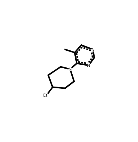 [CH2]CC1CCN(c2ncncc2C)CC1